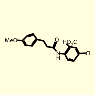 COc1ccc(CCC(=O)Nc2ccc(Cl)cc2C(=O)O)cc1